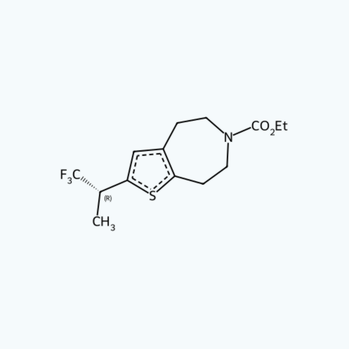 CCOC(=O)N1CCc2cc([C@H](C)C(F)(F)F)sc2CC1